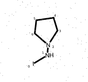 INN1CCCC1